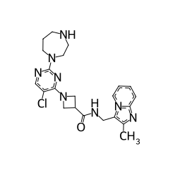 Cc1nc2ccccn2c1CNC(=O)C1CN(c2nc(N3CCCNCC3)ncc2Cl)C1